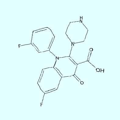 O=C(O)c1c(N2CCNCC2)n(-c2cccc(F)c2)c2ccc(F)cc2c1=O